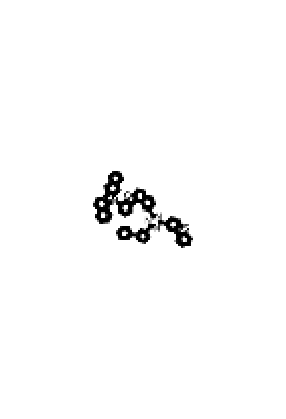 c1ccc(-c2cccc(-c3nc(-c4ccc5sc6ccccc6c5c4)nc(-c4ccc5ccc6oc7c(-n8c9cc%10ccccc%10cc9c9ccc%10ccccc%10c98)cccc7c6c5c4)n3)c2)cc1